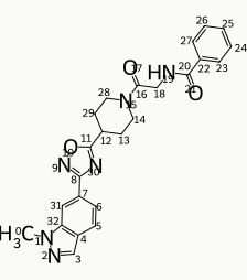 Cn1ncc2ccc(-c3noc(C4CCN(C(=O)CNC(=O)c5ccccc5)CC4)n3)cc21